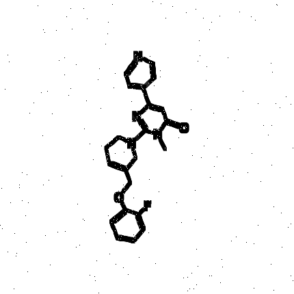 Cn1c(N2CCC=C(COc3ccccc3F)C2)nc(-c2ccncc2)cc1=O